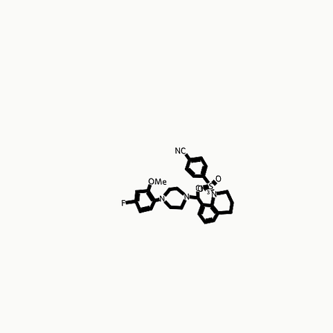 COc1cc(F)ccc1N1CCN(C(C)c2cccc3c2N(S(=O)(=O)c2ccc(C#N)cc2)CCC3)CC1